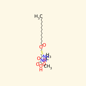 CCCCCCCCCCCCCCCC(=O)OCCSC[C@@H](NC(C)=O)C(=O)NC(C=O)[C@@H](O)OC